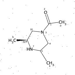 CC(=O)N1CC(C)N[C@@H](C)C1